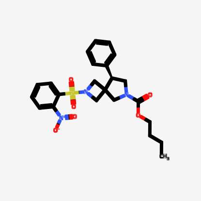 CCCCOC(=O)N1C[C@H](c2ccccc2)C2(C1)CN(S(=O)(=O)c1ccccc1[N+](=O)[O-])C2